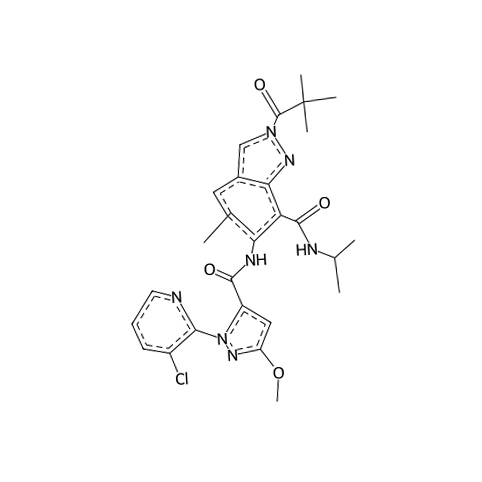 COc1cc(C(=O)Nc2c(C)cc3cn(C(=O)C(C)(C)C)nc3c2C(=O)NC(C)C)n(-c2ncccc2Cl)n1